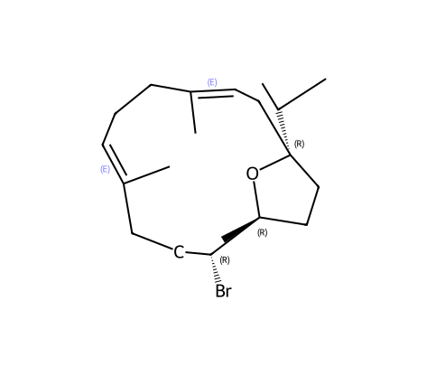 C/C1=C\C[C@@]2(C(C)C)CC[C@@](C)(O2)[C@H](Br)CC/C(C)=C/CC1